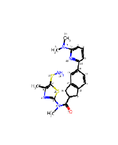 Cc1nc(N(C)C(=O)C2Cc3ccc(-c4cccc(N(C)C)n4)cc3C2)sc1SN